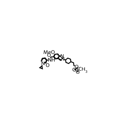 COc1cc2nn(C3CCC(CCOS(C)(=O)=O)CC3)cc2cc1C(=O)Nc1cccn(C2CC2)c1=O